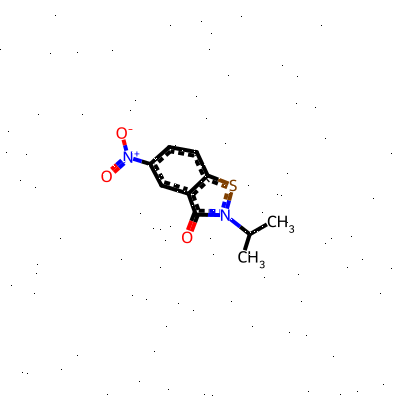 CC(C)n1sc2ccc([N+](=O)[O-])cc2c1=O